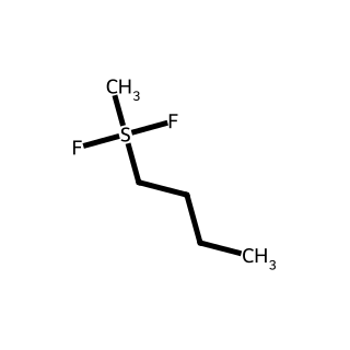 CCCCS(C)(F)F